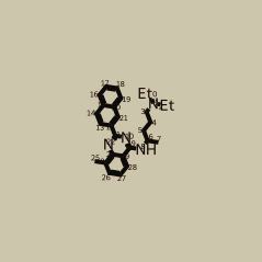 CCN(CC)CCCC(C)Nc1nc(-c2ccc3ccccc3c2)nc2c(C)cccc12